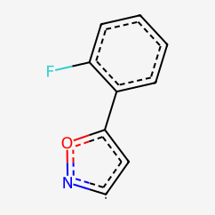 Fc1ccccc1-c1c[c]no1